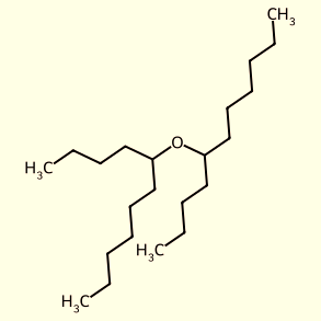 CCCCCCC(CCCC)OC(CCCC)CCCCCC